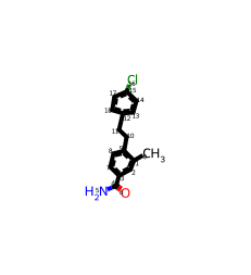 Cc1cc(C(N)=O)ccc1CCc1ccc(Cl)cc1